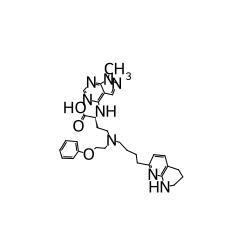 Cn1ncc2c(N[C@@H](CCN(CCCCc3ccc4c(n3)NCCC4)CCOc3ccccc3)C(=O)O)ncnc21